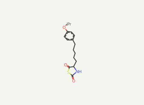 CC(C)Oc1ccc(CCCCCC2NC(=O)SC2=O)cc1